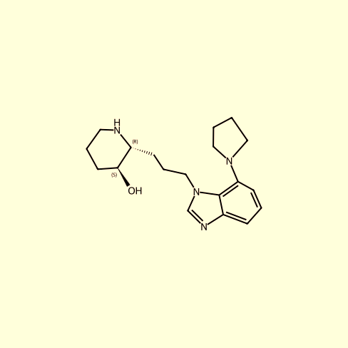 O[C@H]1CCCN[C@@H]1CCCn1cnc2cccc(N3CCCC3)c21